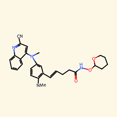 CNc1ccc(N(C)c2cc(C#N)nc3ccccc23)cc1/C=C/CCC(=O)NOC1CCCCO1